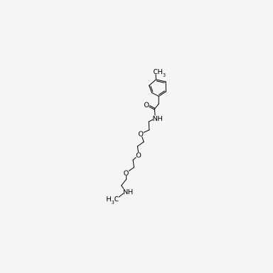 CNCCOCCOCCOCCNC(=O)Cc1ccc(C)cc1